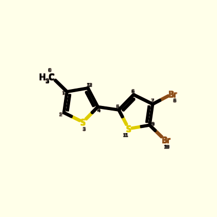 Cc1csc(-c2cc(Br)c(Br)s2)c1